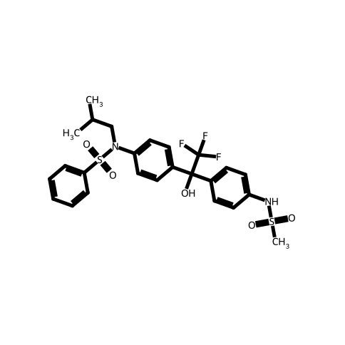 CC(C)CN(c1ccc(C(O)(c2ccc(NS(C)(=O)=O)cc2)C(F)(F)F)cc1)S(=O)(=O)c1ccccc1